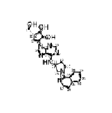 OC[C@H]1C[C@@H](n2cnc3c(N[C@H]4CCN(c5nccc6ccccc56)C4)ncnc32)[C@@H](O)[C@H]1O